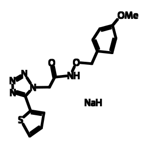 COc1ccc(CONC(=O)Cn2nnnc2-c2cccs2)cc1.[NaH]